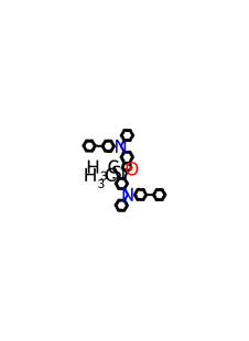 C[Si]1(C)c2ccc(N(c3ccccc3)c3ccc(-c4ccccc4)cc3)cc2-c2oc3ccc(N(c4ccccc4)c4ccc(-c5ccccc5)cc4)cc3c21